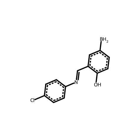 Bc1ccc(O)c(/C=N/c2ccc(Cl)cc2)c1